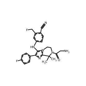 CC1(C)c2nc(-c3ccc(F)cc3)c(Nc3ccc(C#N)c(CF)c3)n2CCN1C(=O)CN